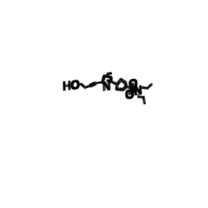 CCCN(CCC)S(=O)(=O)c1ccc(-c2nc(C#CCCO)cs2)cc1